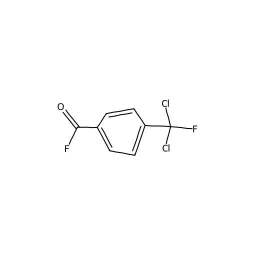 O=C(F)c1ccc(C(F)(Cl)Cl)cc1